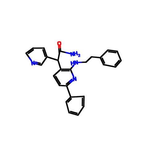 NC(=O)C(c1cccnc1)c1ccc(-c2ccccc2)nc1NCCc1ccccc1